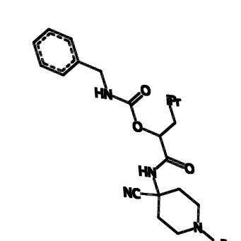 CCCN1CCC(C#N)(NC(=O)C(CC(C)C)OC(=O)NCc2ccccc2)CC1